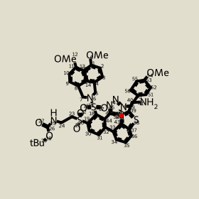 COc1ccc(CN(Cc2ccc(OC)cc2)S(=O)(=O)c2c(S(=O)(=O)CCNC(=O)OC(C)(C)C)ccc(-c3cccc4sc(CN)nc34)c2-c2nnn(Cc3ccc(OC)cc3)n2)cc1